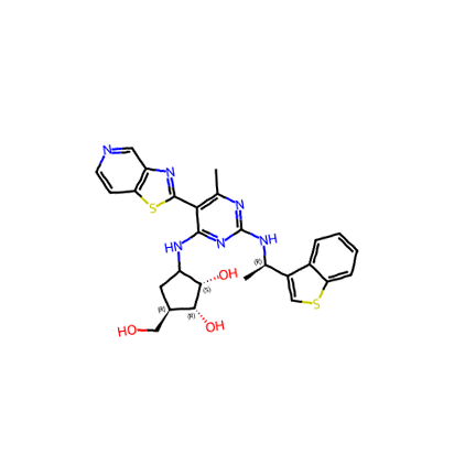 Cc1nc(N[C@H](C)c2csc3ccccc23)nc(NC2C[C@H](CO)[C@@H](O)[C@H]2O)c1-c1nc2cnccc2s1